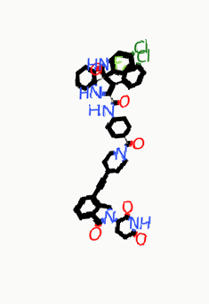 O=C1CCC(N2Cc3c(C#CC4CCN(C(=O)[C@H]5CC[C@H](NC(=O)[C@@H]6NC7(CCCCC7)[C@@]7(C(=O)Nc8cc(Cl)ccc87)[C@H]6c6cccc(Cl)c6F)CC5)CC4)cccc3C2=O)C(=O)N1